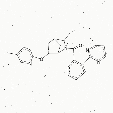 Cc1ccc(OC2CC3CC2N(C(=O)c2ccccc2-c2ncccn2)C3C)nc1